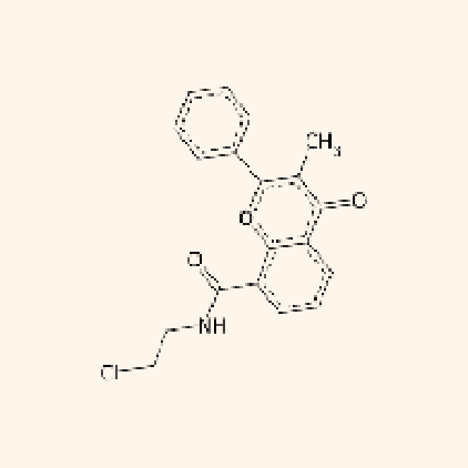 Cc1c(-c2ccccc2)oc2c(C(=O)NCCCl)cccc2c1=O